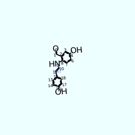 O=Cc1cc(O)ccc1N/C=C/c1ccc(O)cc1